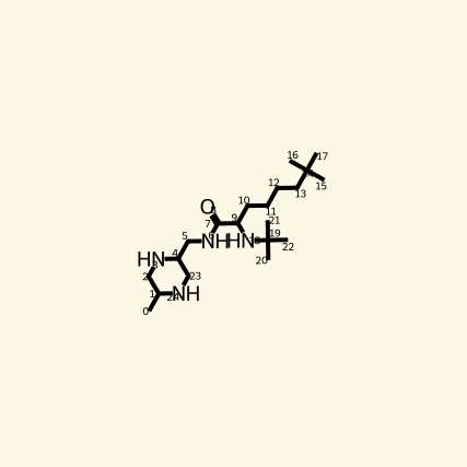 CC1CNC(CNC(=O)C(CCCCC(C)(C)C)NC(C)(C)C)CN1